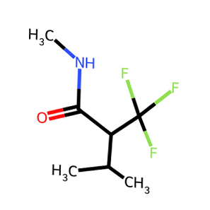 CNC(=O)C(C(C)C)C(F)(F)F